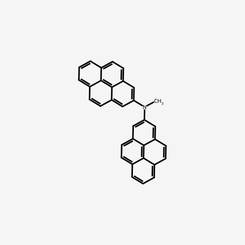 CN(c1cc2ccc3cccc4ccc(c1)c2c34)c1cc2ccc3cccc4ccc(c1)c2c34